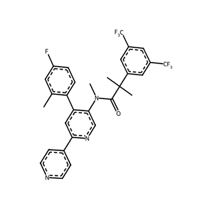 Cc1cc(F)ccc1-c1cc(-c2ccncc2)ncc1N(C)C(=O)C(C)(C)c1cc(C(F)(F)F)cc(C(F)(F)F)c1